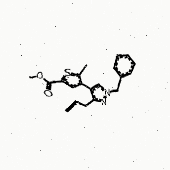 C=CCc1nn(Cc2ccccc2)cc1-c1cc(C(=O)OC)sc1C